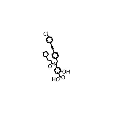 O=C(O)c1ccc(N(Cc2ccc(C#Cc3ccc(Cl)cc3)cc2)C(=O)CCC2CCCC2)cc1O